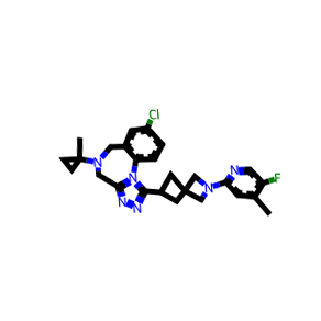 Cc1cc(N2CC3(CC(c4nnc5n4-c4ccc(Cl)cc4CN(C4(C)CC4)C5)C3)C2)ncc1F